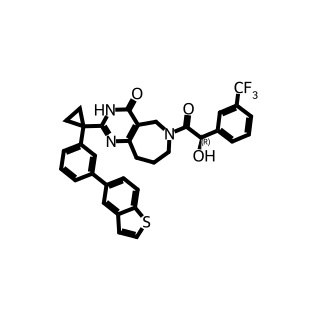 O=C([C@H](O)c1cccc(C(F)(F)F)c1)N1CCCc2nc(C3(c4cccc(-c5ccc6sccc6c5)c4)CC3)[nH]c(=O)c2C1